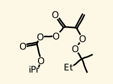 C=C(OOC(C)(C)CC)C(=O)OOC(=O)OC(C)C